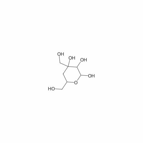 OCC1CC(O)(CO)C(O)C(O)O1